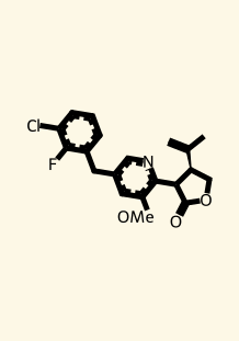 C=C(C)[C@H]1COC(=O)C1c1ncc(Cc2cccc(Cl)c2F)cc1OC